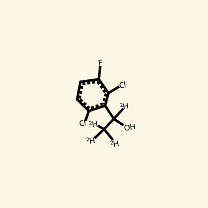 [2H]C([2H])([2H])C([2H])(O)c1c(Cl)ccc(F)c1Cl